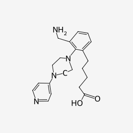 NCc1cccc(CCCCC(=O)O)c1N1CCN(c2ccncc2)CC1